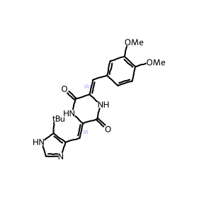 COc1ccc(/C=c2\[nH]c(=O)/c(=C/c3nc[nH]c3C(C)(C)C)[nH]c2=O)cc1OC